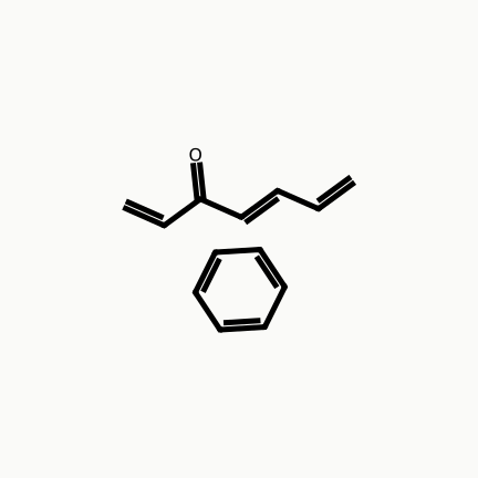 C=CC=CC(=O)C=C.c1ccccc1